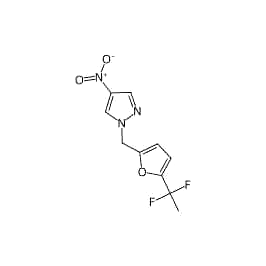 CC(F)(F)c1ccc(Cn2cc([N+](=O)[O-])cn2)o1